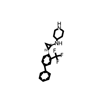 FC(F)(F)c1cc(-c2ccccc2)ccc1[C@@H]1C[C@H]1NC1CCNCC1